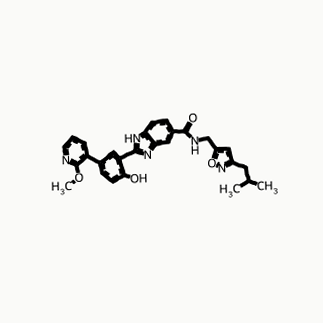 COc1ncccc1-c1ccc(O)c(-c2nc3cc(C(=O)NCc4cc(CC(C)C)no4)ccc3[nH]2)c1